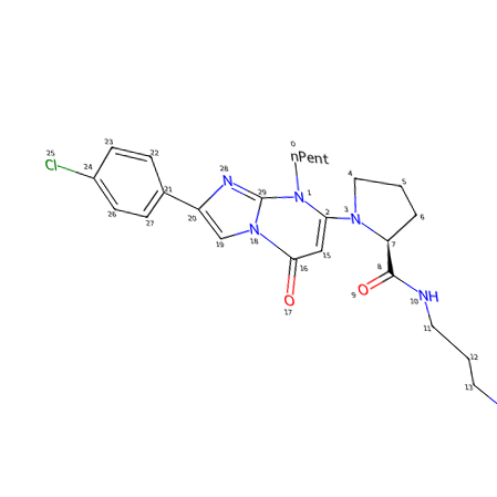 CCCCCn1c(N2CCC[C@H]2C(=O)NCCCN)cc(=O)n2cc(-c3ccc(Cl)cc3)nc12